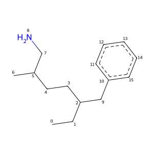 CCC(CCC(C)CN)Cc1ccccc1